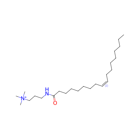 CCCCCCCC/C=C\CCCCCCCC(=O)NCCC[N+](C)(C)C